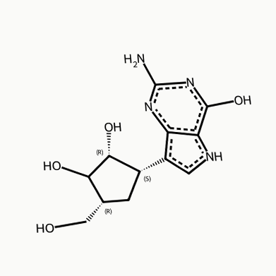 Nc1nc(O)c2[nH]cc([C@@H]3C[C@H](CO)C(O)[C@@H]3O)c2n1